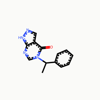 CC(c1ccccc1)n1cnc2[nH]ncc2c1=O